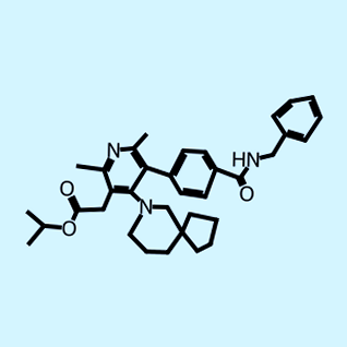 Cc1nc(C)c(-c2ccc(C(=O)NCc3ccccc3)cc2)c(N2CCCC3(CCCC3)C2)c1CC(=O)OC(C)C